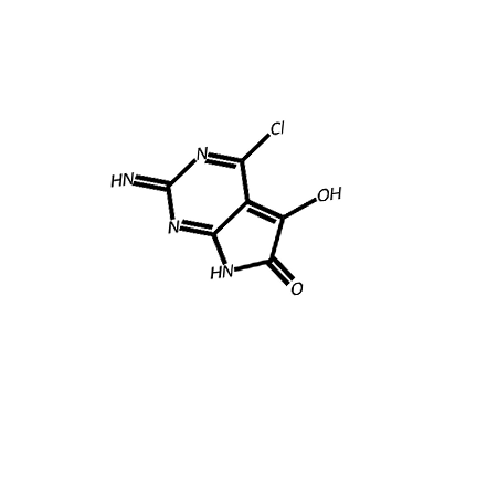 N=C1N=C(Cl)C2=C(O)C(=O)NC2=N1